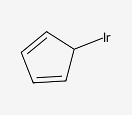 [Ir][CH]1C=CC=C1